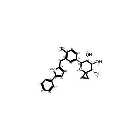 O[C@@H]1[C@@H](O)[C@H](O)C2(CC2)O[C@H]1c1ccc(Cl)c(Cc2ccc(-c3ccccc3)s2)c1